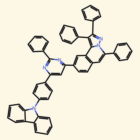 c1ccc(-c2nc(-c3ccc(-n4c5ccccc5c5ccccc54)cc3)cc(-c3ccc4cc(-c5ccccc5)n5nc(-c6ccccc6)c(-c6ccccc6)c5c4c3)n2)cc1